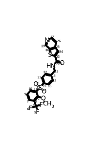 COc1c(C(F)(F)F)cccc1S(=O)(=O)c1ccc(CNC(=O)c2cc3ccncc3s2)cc1